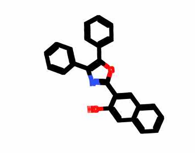 Oc1cc2ccccc2cc1-c1nc(-c2ccccc2)c(-c2ccccc2)o1